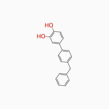 Oc1ccc(-c2ccc(Cc3ccccc3)cc2)cc1O